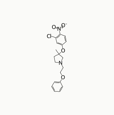 CC1(Oc2ccc([N+](=O)[O-])c(Cl)c2)CCN(CCOc2ccccc2)C1